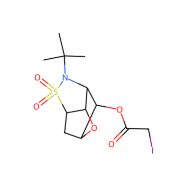 CC(C)(C)N1C2C(OC(=O)CI)C3CC(C2O3)S1(=O)=O